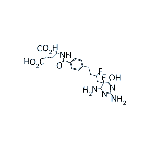 NC1=NC(N)C(F)(CC(F)CCc2ccc(C(=O)N[C@@H](CCC(=O)O)C(=O)O)cc2)C(O)=N1